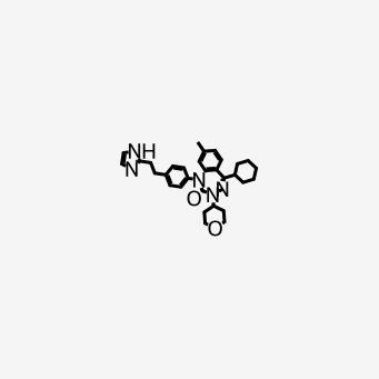 Cc1ccc2c(c1)N(c1ccc(CCc3ncc[nH]3)cc1)C(=O)N(C1CCOCC1)N=C2C1CCCCC1